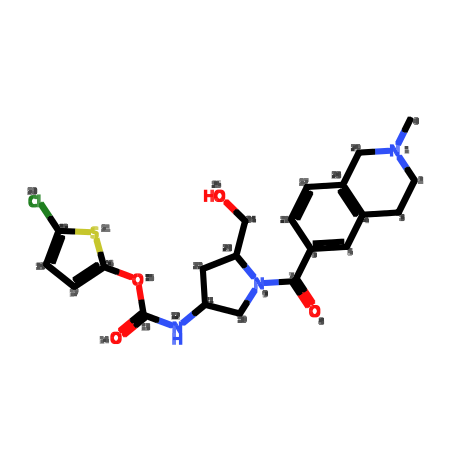 CN1CCc2cc(C(=O)N3CC(NC(=O)Oc4ccc(Cl)s4)CC3CO)ccc2C1